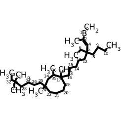 C=BC(C)=CC(CC)(CCCC)CCCCCC1(C)CCCCC(C)(CCCCC(C)(C)CC)CC1C